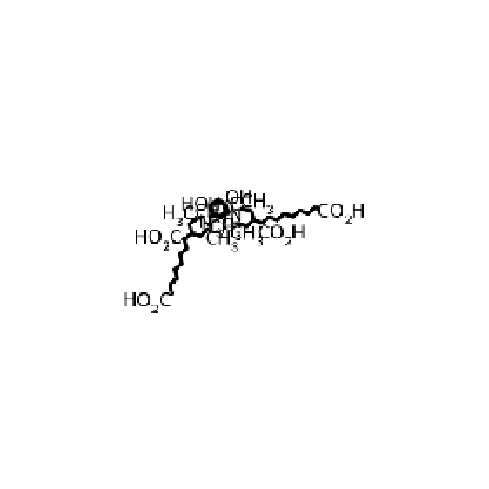 CC1(C)CC(C(CCCCCCCC(=O)O)C(=O)O)CC(C)(C)N1c1cc(N2C(C)(C)CC(C(CCCCCCCC(=O)O)C(=O)O)CC2(C)C)c(O)cc1O